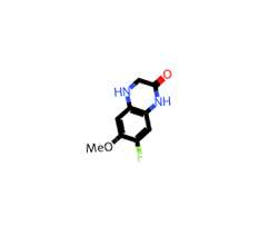 COc1cc2c(cc1F)NC(=O)CN2